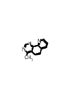 Cc1ncnc2c1ccc1cccnc12